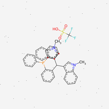 Cn1cc(C(c2ccccc2P(c2ccccc2)c2ccccc2)c2cn(C)c3ccccc23)c2ccccc21.O=S(=O)(O)C(F)(F)F